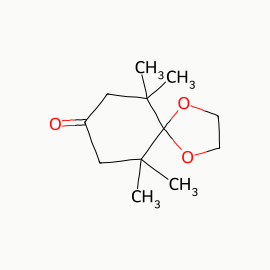 CC1(C)CC(=O)CC(C)(C)C12OCCO2